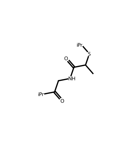 CC(C)SC(C)C(=O)NCC(=O)C(C)C